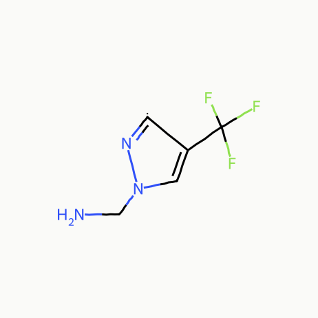 NCn1cc(C(F)(F)F)[c]n1